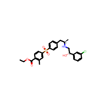 CCOC(=O)c1ccc(S(=O)(=O)c2ccc(C[C@@H](C)NC[C@@H](O)c3cccc(Cl)c3)cc2)cc1C